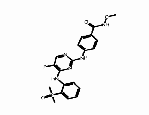 CONC(=O)c1ccc(Nc2ncc(F)c(Nc3ccccc3P(C)(C)=O)n2)cc1